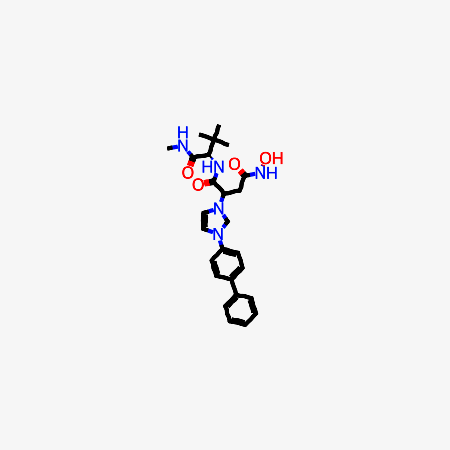 CNC(=O)[C@@H](NC(=O)C(CC(=O)NO)N1C=CN(c2ccc(-c3ccccc3)cc2)C1)C(C)(C)C